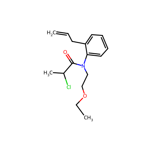 C=CCc1ccccc1N(CCOCC)C(=O)C(C)Cl